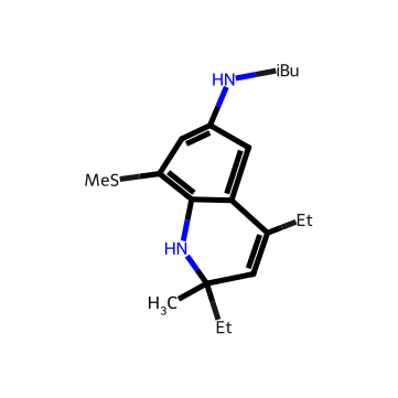 CCC1=CC(C)(CC)Nc2c(SC)cc(NC(C)CC)cc21